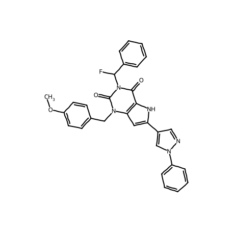 COc1ccc(Cn2c(=O)n(C(F)c3ccccc3)c(=O)c3[nH]c(-c4cnn(-c5ccccc5)c4)cc32)cc1